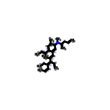 C=CCC(=C)N(C)C(=C)/C=C(/C=C(C)/C(C=C)=C(/C=C\C)CC)C(=C/CC)\C(C)=C\C